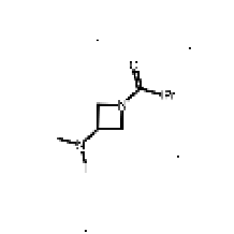 CC(C)C(=O)N1CC(N(C)I)C1